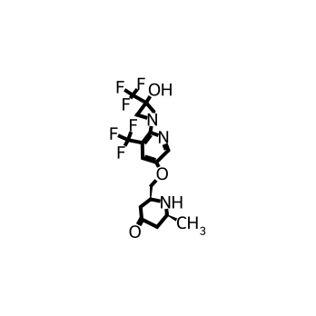 C[C@H]1CC(=O)C[C@@H](COc2cnc(N3CC(O)(C(F)(F)F)C3)c(C(F)(F)F)c2)N1